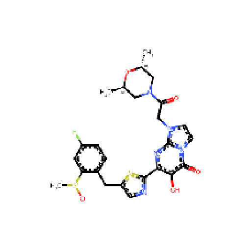 C[C@@H]1CN(C(=O)Cn2ccn3c(=O)c(O)c(-c4ncc(Cc5ccc(F)cc5[S+](C)[O-])s4)nc23)C[C@@H](C)O1